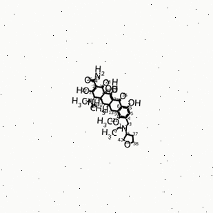 CCN(Cc1cc(O)c2c(c1OC)C[C@H]1C[C@H]3[C@H](N(C)C)C(O)=C(C(N)=O)C(=O)[C@@]3(O)C(O)=C1C2=O)[C@@H]1CCOC1